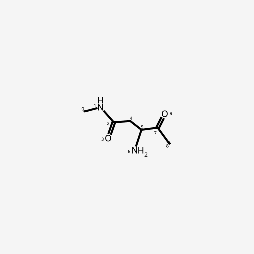 CNC(=O)CC(N)C(C)=O